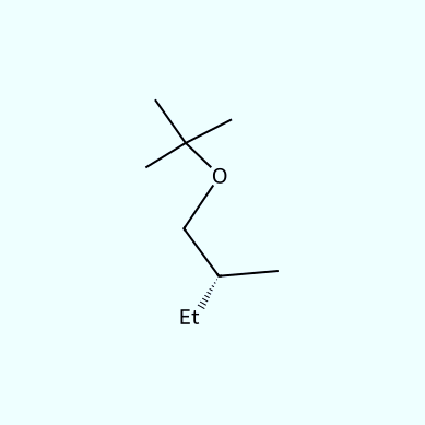 CC[C@@H](C)COC(C)(C)C